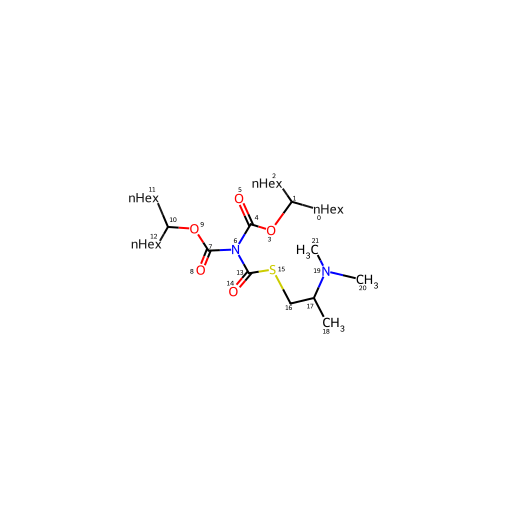 CCCCCCC(CCCCCC)OC(=O)N(C(=O)OC(CCCCCC)CCCCCC)C(=O)SCC(C)N(C)C